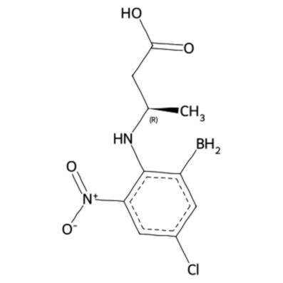 Bc1cc(Cl)cc([N+](=O)[O-])c1N[C@H](C)CC(=O)O